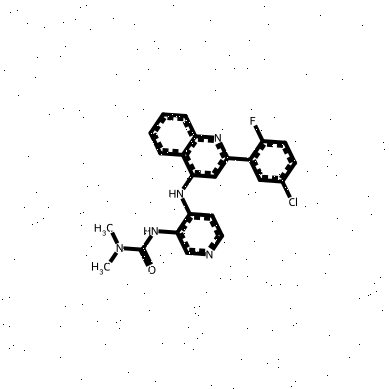 CN(C)C(=O)Nc1cnccc1Nc1cc(-c2cc(Cl)ccc2F)nc2ccccc12